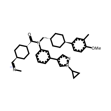 C/N=C\[C@H]1CC[C@H](C(=O)N(C[C@H]2CC[C@H](c3ccc(OC)c(C)c3)CC2)c2cccc(-c3cnn(C4CC4)c3)c2)CC1